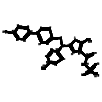 Cc1sc(N(Cc2ccc(-c3ccc(F)cc3)nc2)c2ccc(C#N)cc2)nc1C(=O)NS(C)(=O)=O